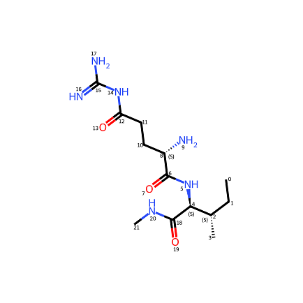 CC[C@H](C)[C@H](NC(=O)[C@@H](N)CCC(=O)NC(=N)N)C(=O)NC